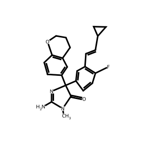 CN1C(=O)C(c2ccc(F)c(C=CC3CC3)c2)(c2ccc3c(c2)CCCO3)N=C1N